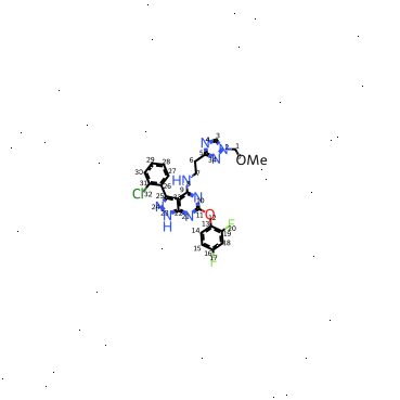 COCn1cnc(CCNc2nc(Oc3ccc(F)cc3F)nc3[nH]nc(-c4ccccc4Cl)c23)n1